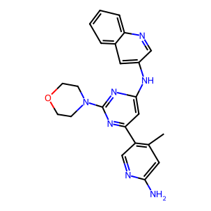 Cc1cc(N)ncc1-c1cc(Nc2cnc3ccccc3c2)nc(N2CCOCC2)n1